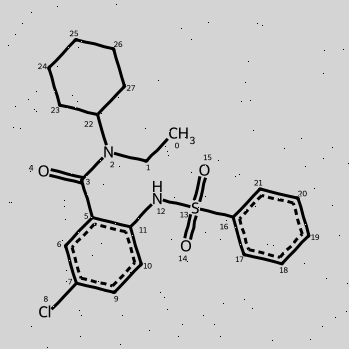 CCN(C(=O)c1cc(Cl)ccc1NS(=O)(=O)c1ccccc1)C1CCCCC1